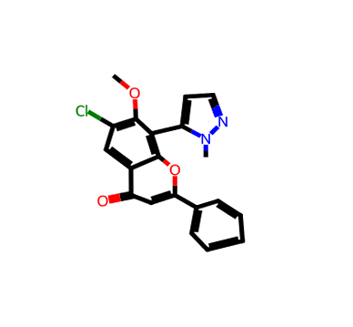 COc1c(Cl)cc2c(=O)cc(-c3ccccc3)oc2c1-c1ccnn1C